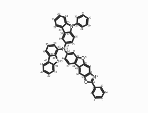 c1ccc(-c2nc3cc4oc5cc(N(c6ccc7c(c6)c6ccccc6n7-c6ccccc6)c6cccc7c6sc6ccccc67)ccc5c4cc3o2)cc1